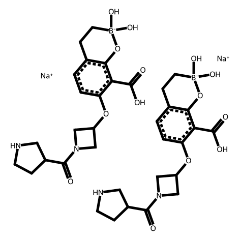 O=C(O)c1c(OC2CN(C(=O)C3CCNC3)C2)ccc2c1O[B-](O)(O)CC2.O=C(O)c1c(OC2CN(C(=O)C3CCNC3)C2)ccc2c1O[B-](O)(O)CC2.[Na+].[Na+]